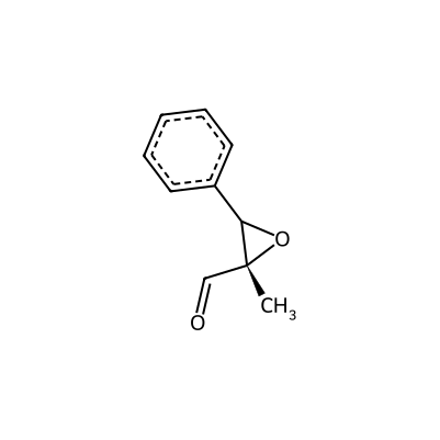 C[C@]1(C=O)OC1c1ccccc1